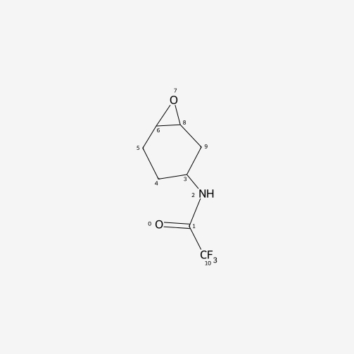 O=C(NC1CCC2OC2C1)C(F)(F)F